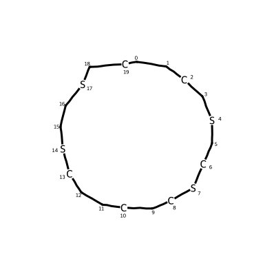 C1CCCSCCSCCCCCCSCCSCC1